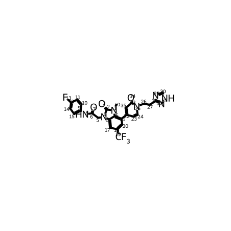 Cn1c(=O)n(CC(=O)Nc2ccc(F)cc2)c2cc(C(F)(F)F)cc(-c3ccn(CCc4nc[nH]n4)c(=O)c3)c21